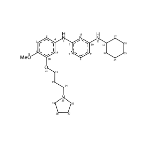 COc1ccc(Nc2nccc(NC3CCCCC3)n2)cc1OCCCN1CCCC1